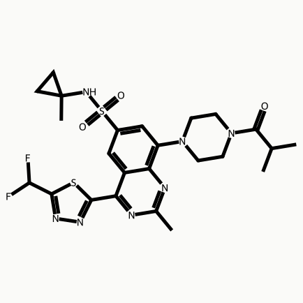 Cc1nc(-c2nnc(C(F)F)s2)c2cc(S(=O)(=O)NC3(C)CC3)cc(N3CCN(C(=O)C(C)C)CC3)c2n1